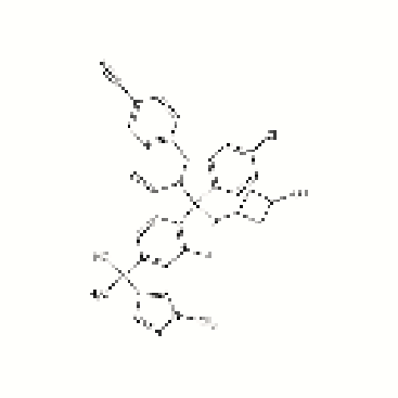 Cn1cc(C(C)(O)c2cc(F)c3c(c2)C(=O)N(Cc2ccc(C#N)cn2)C3(OC2CC(O)C2)c2ccc(Cl)cc2)cn1